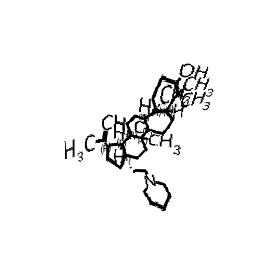 C=C(C)[C@@H]1CC[C@]2(CCN3CCCCC3)CC[C@]3(C)[C@H](CC[C@@H]4[C@@]5(C)CCC(O)C(C)(C)[C@@H]5CC[C@]43C)[C@@H]12